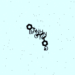 COc1ccc(-c2cncc(C(=O)N/N=C/c3ccccc3Br)n2)cc1